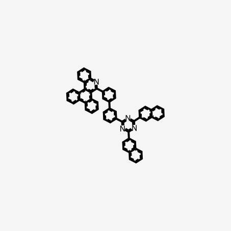 c1cc(-c2cccc(-c3nc4ccccc4c4c5ccccc5c5ccccc5c34)c2)cc(-c2nc(-c3ccc4ccccc4c3)nc(-c3ccc4ccccc4c3)n2)c1